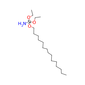 CCCCCCCCCCCCCCCO[Si](N)(OCC)OCC